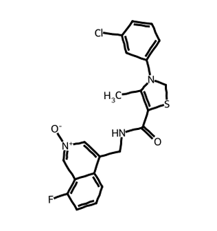 CC1=C(C(=O)NCc2c[n+]([O-])cc3c(F)cccc23)SCN1c1cccc(Cl)c1